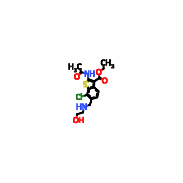 CCOC(=O)c1c(NC(C)=O)sc2c(Cl)c(CNCCO)ccc12